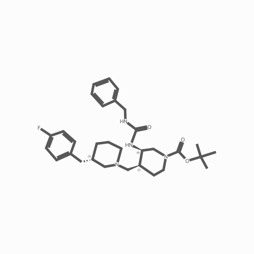 CC(C)(C)OC(=O)N1CC[C@@H](CN2CCC[C@@H](Cc3ccc(F)cc3)C2)[C@@H](NC(=O)NCc2ccccc2)C1